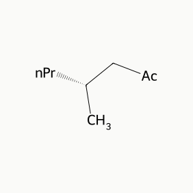 CCC[C@@H](C)CC(C)=O